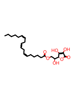 CCCCC/C=C\C/C=C\C/C=C\CCCCC(=O)OC[C@H](O)[C@H]1OC(=O)C(O)=C1O